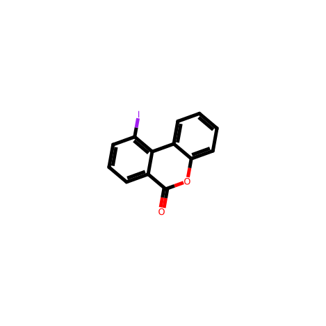 O=c1oc2ccccc2c2c(I)cccc12